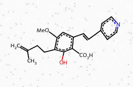 C=C(C)CCc1c(OC)cc(C=Cc2ccncc2)c(C(=O)O)c1O